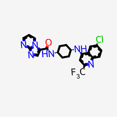 O=C(N[C@H]1CC[C@@H](Nc2cc(C(F)(F)F)nc3ccc(Cl)cc23)CC1)c1cnc2ncccn12